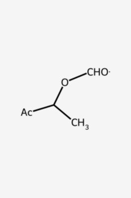 CC(=O)C(C)O[C]=O